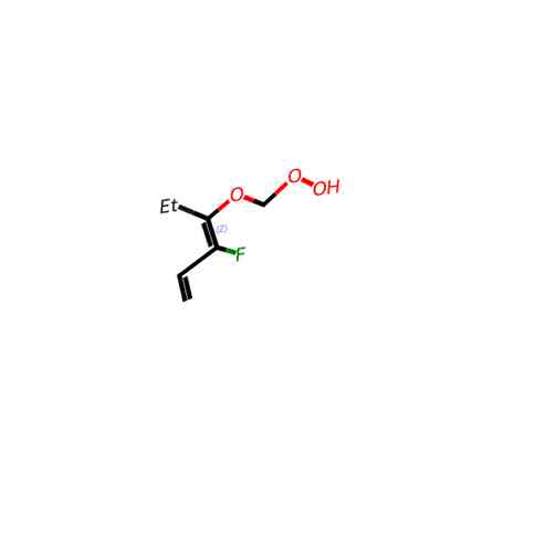 C=C/C(F)=C(\CC)OCOO